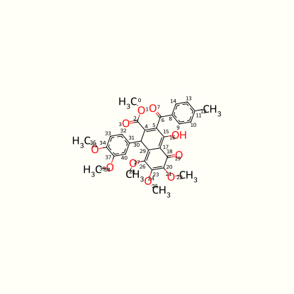 COC(=O)C1=C(C(=O)c2ccc(C)cc2)C(O)=C2C(=O)C(OC)=C(OC)C(OC)=C2C1c1ccc(OC)c(OC)c1